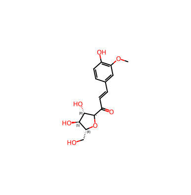 COc1cc(C=CC(=O)[C]2O[C@H](CO)[C@@H](O)[C@@H]2O)ccc1O